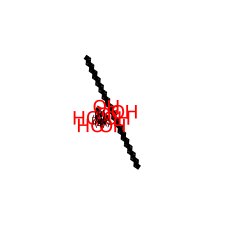 CCCCCCCCCCCCCCCCCC(O)CCCCCCCCCCCCCCCC.OC[C@H]1OC(O)[C@H](O)[C@@H](O)[C@@H]1O